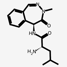 CC(C)C[C@H](N)C(=O)N[C@@H]1C(=O)N(C)N=Cc2ccccc21